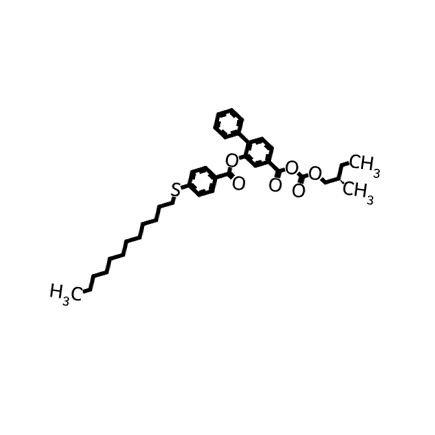 CCCCCCCCCCCCSc1ccc(C(=O)Oc2cc(C(=O)OC(=O)OC[C@@H](C)CC)ccc2-c2ccccc2)cc1